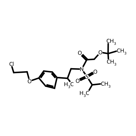 CC(CN(C(=O)COC(C)(C)C)S(=O)(=O)C(C)C)c1ccc(OCCCl)cc1